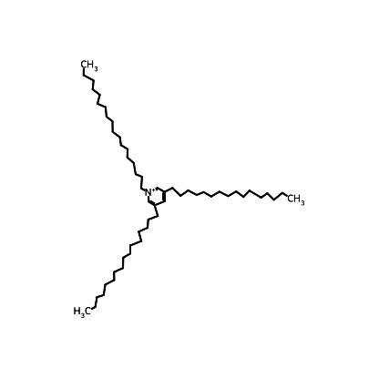 CCCCCCCCCCCCCCCCCC[n+]1cc(CCCCCCCCCCCCCCCC)cc(CCCCCCCCCCCCCCCC)c1